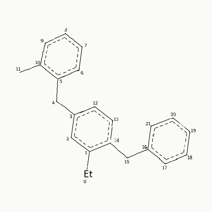 CCc1cc(Cc2ccccc2C)ccc1Cc1ccccc1